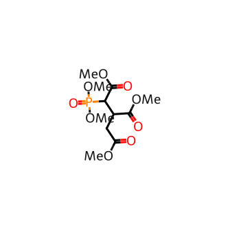 COC(=O)CC(C(=O)OC)C(C(=O)OC)P(=O)(OC)OC